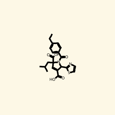 CCc1ccc(C(=O)N2C(c3nccs3)C(C(=O)O)=CC2(CC(C)C)C(=O)O)cc1